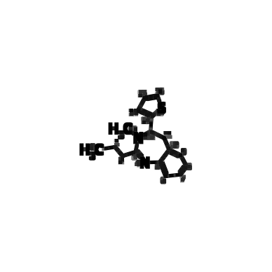 CCCC1=Nc2ccccc2CC(c2cccs2)N1C